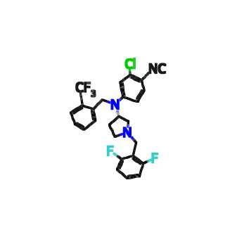 [C-]#[N+]c1ccc(N(Cc2ccccc2C(F)(F)F)[C@H]2CCN(Cc3c(F)cccc3F)C2)cc1Cl